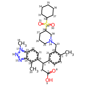 Cc1ccc(C(CC(=O)O)c2ccc3c(nnn3C)c2C)cc1CN1CCCC(S(=O)(=O)C2CCCCC2)C1